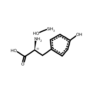 N[C@@H](Cc1ccc(O)cc1)C(=O)O.O[SiH3]